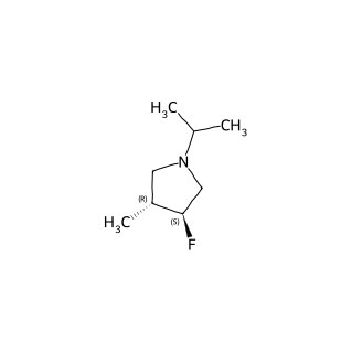 CC(C)N1C[C@@H](C)[C@H](F)C1